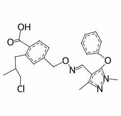 Cc1nn(C)c(Oc2ccccc2)c1C=NOCc1ccc(C(=O)O)c(CC(C)CCl)c1